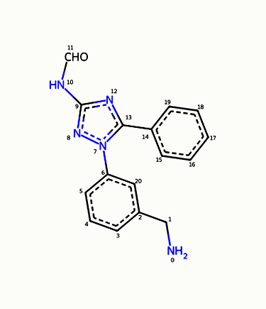 NCc1cccc(-n2nc(NC=O)nc2-c2ccccc2)c1